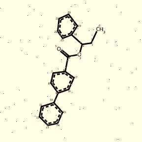 CCC(OC(=O)c1ccc(-c2ccccc2)cc1)c1ccccc1